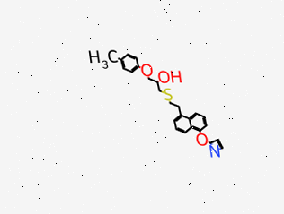 Cc1ccc(OCC(O)CSCCc2cccc3c(OC4=NC=C4)cccc23)cc1